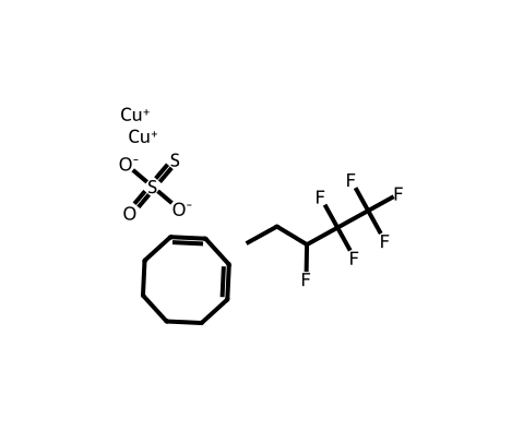 C1=CCCCCC=C1.CCC(F)C(F)(F)C(F)(F)F.O=S([O-])([O-])=S.[Cu+].[Cu+]